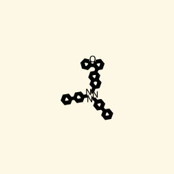 C1=CC(c2ccccc2)CC=C1c1nc(-c2ccc(-c3ccccc3)cc2)nc(-c2ccc3cc(-c4cccc5oc6ccccc6c45)ccc3c2)n1